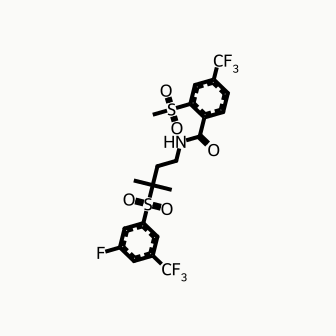 CC(C)(CCNC(=O)c1ccc(C(F)(F)F)cc1S(C)(=O)=O)S(=O)(=O)c1cc(F)cc(C(F)(F)F)c1